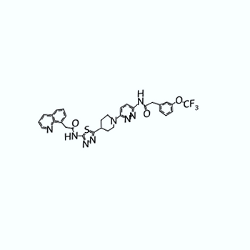 O=C(Cc1cccc(OC(F)(F)F)c1)Nc1ccc(N2CCC(c3nnc(NC(=O)Cc4cccc5cccnc45)s3)CC2)nn1